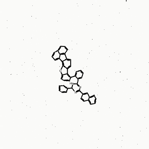 c1ccc(C2N=C(c3ccc4ccccc4c3)N=C(c3ccccc3-c3cccc4oc5c6c(ccc5c34)-c3cccc4cccc-6c34)N2)cc1